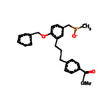 COC(=O)c1ccc(CCCc2cc(C[S+](C)[O-])ccc2OCc2ccccc2)cc1